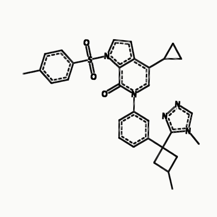 Cc1ccc(S(=O)(=O)n2ccc3c(C4CC4)cn(-c4cccc(C5(c6nncn6C)CC(C)C5)c4)c(=O)c32)cc1